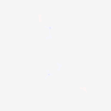 COc1cccc(-c2nc3cc(C4=NNC(=O)SC4C)ccc3n2CC(C)C)c1